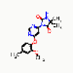 COc1cc(C)ccc1Oc1cc(N2C(=O)NC(C)(C)C2=O)ncn1